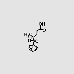 CN(CCC(=O)O)S(=O)(=O)C12C=CC(CC1)O2